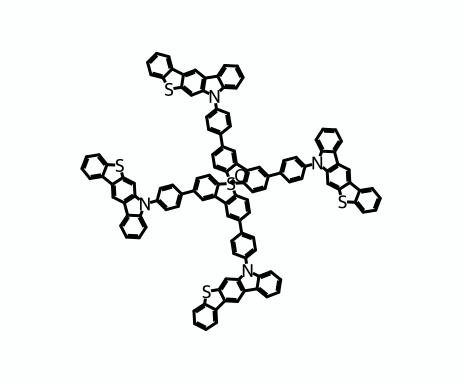 O=S12(c3ccc(-c4ccc(-n5c6ccccc6c6cc7c(cc65)sc5ccccc57)cc4)cc3-c3cc(-c4ccc(-n5c6ccccc6c6cc7c(cc65)sc5ccccc57)cc4)ccc31)c1ccc(-c3ccc(-n4c5ccccc5c5cc6c(cc54)sc4ccccc46)cc3)cc1-c1cc(-c3ccc(-n4c5ccccc5c5cc6c(cc54)sc4ccccc46)cc3)ccc12